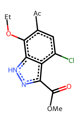 CCOc1c(C(C)=O)cc(Cl)c2c(C(=O)OC)n[nH]c12